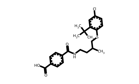 CC(CCNC(=O)c1ccc(C(=O)O)cc1)CSc1ccc(Cl)cc1C(C)(C)C